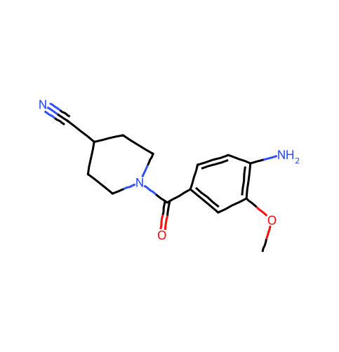 COc1cc(C(=O)N2CCC(C#N)CC2)ccc1N